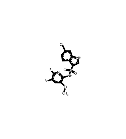 COc1cc(Br)c(F)nc1NS(=O)(=O)c1c[nH]c2cc(Cl)ccc12